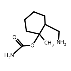 CC1(OC(N)=O)CCCCC1CN